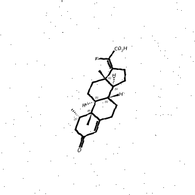 C[C@H]1CC(=O)C=C2CC[C@@H]3[C@H](CC[C@]4(C)C(=C(F)C(=O)O)CC[C@@H]34)[C@]21C